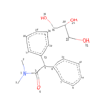 CN(C)C(=O)C(c1ccccc1)c1ccccc1.OCC(O)CO